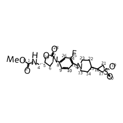 COC(=O)NC[C@H]1CN(c2ccc(N3CCC(C4CS(=O)(=O)C4)CC3)c(F)c2)C(=O)O1